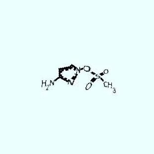 CS(=O)(=O)On1ccc(N)n1